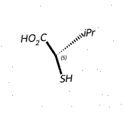 CC(C)[C@H](S)C(=O)O